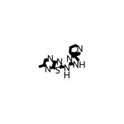 Cc1cnc2nc(NC3=NC4(CN3)CN3CCC4CC3)sc2n1